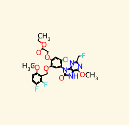 CCOC(=O)COc1cc(Cl)c(-n2c(=O)[nH]c3c(OC)nc(CF)nc32)cc1OCc1c(OC)ccc(F)c1F